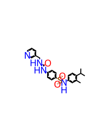 Cc1cc(NS(=O)(=O)c2ccc(NC(=O)NCc3cccnc3)cc2)ccc1C(C)C